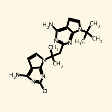 CC(C)(C)n1ccc2c(N)nc(CC(C)(C)n3ccc4c(N)nc(Cl)nc43)nc21